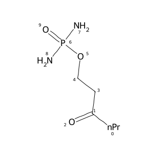 CCCC(=O)CCOP(N)(N)=O